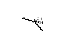 CCCCCCCC(C)(CCCCCC)P(O)O